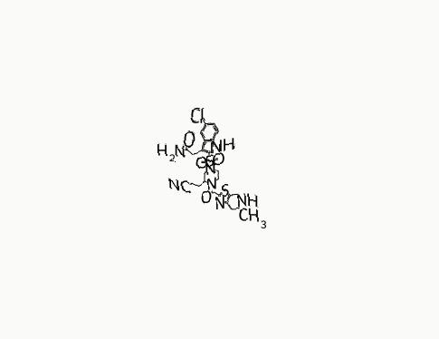 CC1Cc2nc(C(=O)N3CCN(S(=O)(=O)c4[nH]c5ccc(Cl)cc5c4CC(N)=O)CC3CCC#N)sc2CN1